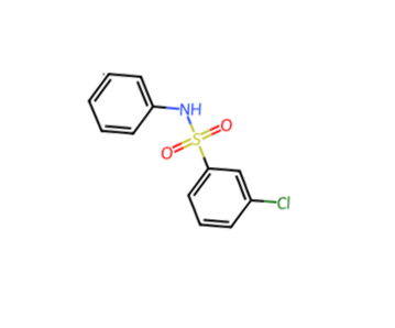 O=S(=O)(Nc1c[c]ccc1)c1cccc(Cl)c1